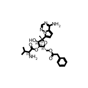 CC(C)[C@H](N)C(=O)O[C@H]1[C@@H](O)[C@](C)(c2ccc3c(N)ncnn23)O[C@@H]1COC(=O)Cc1ccccc1